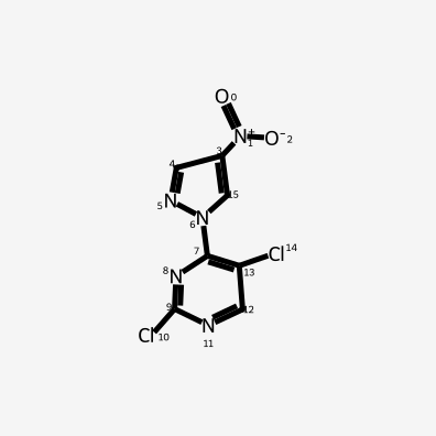 O=[N+]([O-])c1cnn(-c2nc(Cl)ncc2Cl)c1